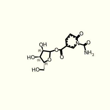 NC(=O)n1cc(C(=O)OC2O[C@H](CO)[C@@H](O)[C@H]2O)ccc1=O